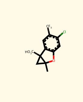 CC12CC1(C(=O)O)c1cc(C(F)(F)F)c(Cl)cc1O2